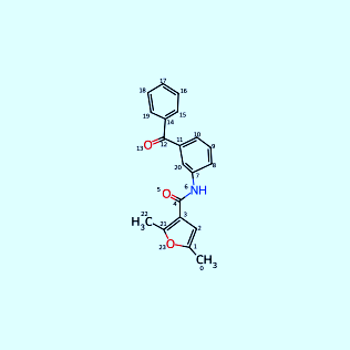 Cc1cc(C(=O)Nc2cccc(C(=O)c3ccccc3)c2)c(C)o1